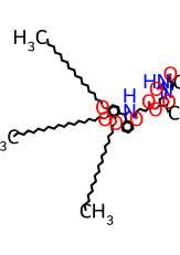 CCCCCCCCCCCCCCCCCCOc1ccc(C(NC(=O)CCC(=O)OC2CC(n3cc(C)c(=O)[nH]c3=O)OC2CC)c2ccccc2)c(OCCCCCCCCCCCCCCCCCC)c1OCCCCCCCCCCCCCCCCCC